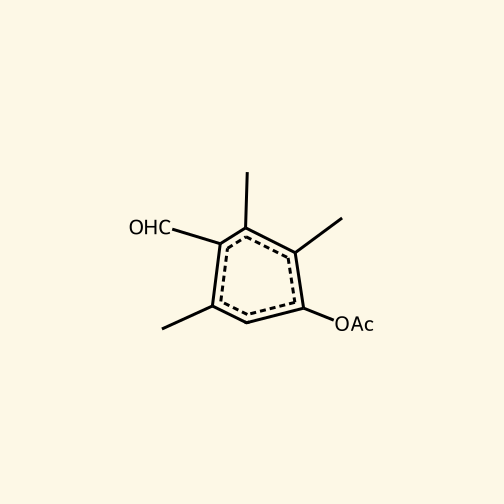 CC(=O)Oc1cc(C)c(C=O)c(C)c1C